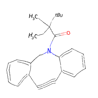 CC(C)(C)C(C)(C)C(=O)N1Cc2ccccc2C#Cc2ccccc21